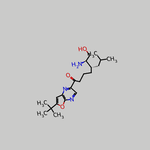 CC(C)C[C@H](CCCC(=O)c1cnc2oc(C(C)(C)C)cc2n1)[C@@H](N)CO